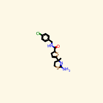 CC1(C2=CCC(C(=O)NCc3ccc(Cl)cc3)S2)CCSC(N)=N1